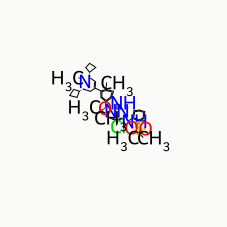 Cc1cc(Nc2ncc(Cl)c(Nc3ccccc3S(=O)(=O)C(C)C)n2)c(OC(C)C)cc1C1=C[C@@H](C2CCC2)N(C)[C@@H](C2CCC2)C1